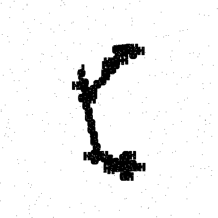 O=C(O)CC[C@H](NC(=O)N[C@@H](CCCCNC(=O)Nc1cccc(-c2cn(CCOCCOCCOCCC(=O)N[C@@H](CCCCNC(=O)CCCc3ccc(I)cc3)C(=O)NCCOCCOCCOCCOCCOCCOCCOCCOCCC(=O)N[C@@H](CCCCNC(=S)Nc3ccc(CC4CN(CC(=O)O)CCN(CC(=O)O)CCN(CC(=O)O)CCN4CC(=O)O)cc3)C(=O)O)nn2)c1)C(=O)O)C(=O)O